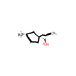 B[C@H]1CC[C@@](C=C=C)(CO)C1